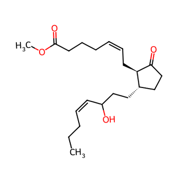 CCC/C=C\C(O)CC[C@H]1CCC(=O)[C@@H]1C/C=C\CCCC(=O)OC